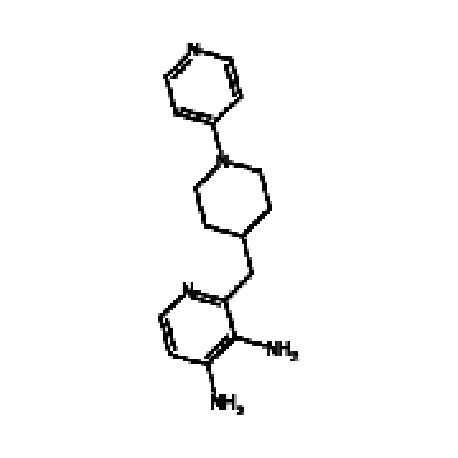 Nc1ccnc(CC2CCN(c3ccncc3)CC2)c1N